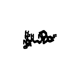 Nc1n[s+]([O-])nc1NCCCN(Cc1ccc(F)cc1)c1ccccn1